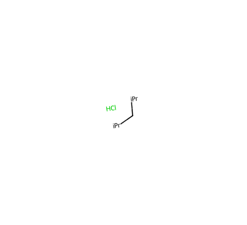 CC(C)CC(C)C.Cl